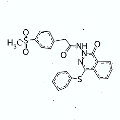 CS(=O)(=O)c1ccc(CC(=O)Nn2nc(Sc3ccccc3)c3ccccc3c2=O)cc1